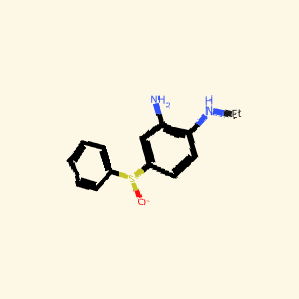 CCNc1ccc([S+]([O-])c2ccccc2)cc1N